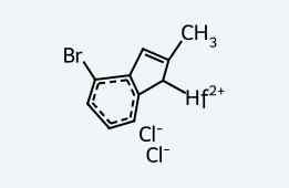 CC1=Cc2c(Br)cccc2[CH]1[Hf+2].[Cl-].[Cl-]